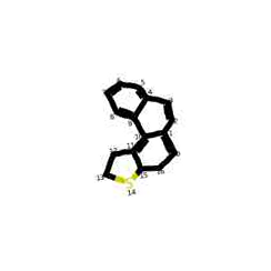 C1=c2ccc3ccccc3c2=C2CCSC2C1